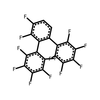 Fc1ccc(-c2c(F)c(F)c(F)c(F)c2F)c(-c2c(F)c(F)c(F)c(F)c2F)c1F